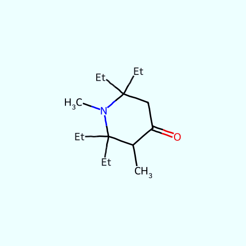 CCC1(CC)CC(=O)C(C)C(CC)(CC)N1C